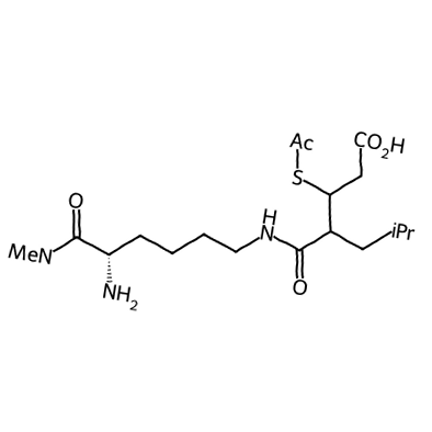 CNC(=O)[C@@H](N)CCCCNC(=O)C(CC(C)C)C(CC(=O)O)SC(C)=O